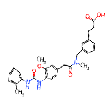 COc1cc(CC(=O)N(C)Cc2cccc(CCC(=O)O)c2)ccc1NC(=O)Nc1ccccc1C